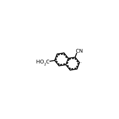 N#Cc1[c]ccc2cc(C(=O)O)ccc12